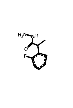 CC(C(=O)NN)c1ccccc1F